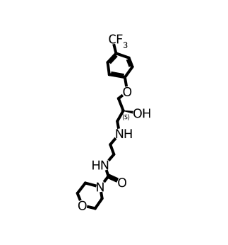 O=C(NCCNC[C@H](O)COc1ccc(C(F)(F)F)cc1)N1CCOCC1